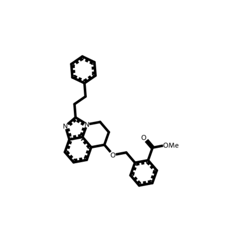 COC(=O)c1ccccc1COC1CCn2c(CCc3ccccc3)nc3cccc1c32